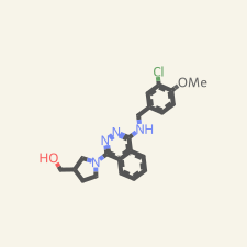 COc1ccc(CNc2nnc(N3CCC(CO)C3)c3ccccc23)cc1Cl